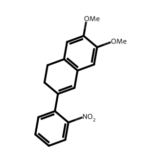 COc1cc2c(cc1OC)CCC(c1ccccc1[N+](=O)[O-])=C2